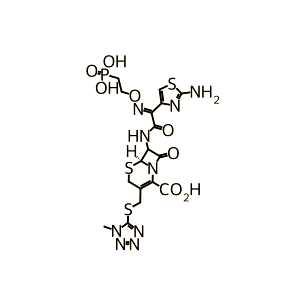 Cn1nnnc1SCC1=C(C(=O)O)N2C(=O)C(NC(=O)C(=NOCCP(=O)(O)O)c3csc(N)n3)[C@@H]2SC1